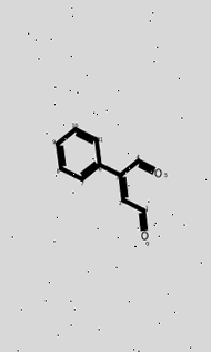 O=[C]/C=C(\[C]=O)c1ccccc1